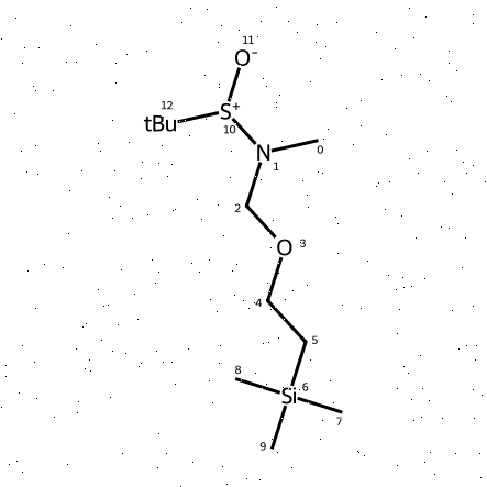 CN(COCC[Si](C)(C)C)[S+]([O-])C(C)(C)C